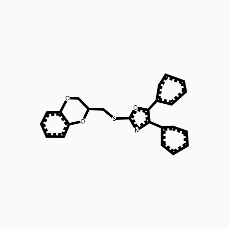 c1ccc(-c2nc(SCC3COc4ccccc4O3)oc2-c2ccccc2)cc1